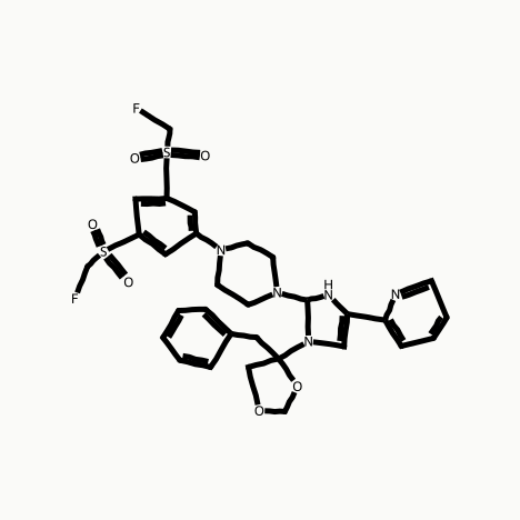 O=S(=O)(CF)c1cc(N2CCN(C3NC(c4ccccn4)=CN3C3(Cc4ccccc4)COCO3)CC2)cc(S(=O)(=O)CF)c1